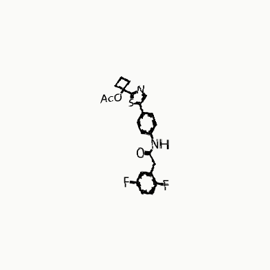 CC(=O)OC1(c2ncc(-c3ccc(NC(=O)Cc4cc(F)ccc4F)cc3)s2)CCC1